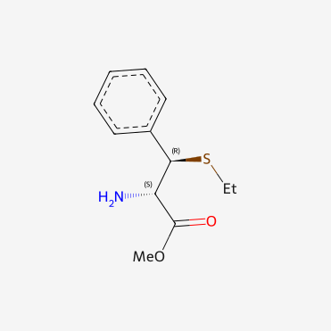 CCS[C@H](c1ccccc1)[C@@H](N)C(=O)OC